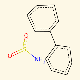 N[SH](=O)=O.c1ccc(-c2ccccc2)cc1